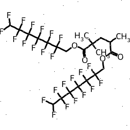 CC(CC(C)(C)C(=O)OCC(F)(F)C(F)(F)C(F)(F)C(F)(F)C(F)(F)C(F)F)C(=O)OCC(F)(F)C(F)(F)C(F)(F)C(F)(F)C(F)(F)C(F)F